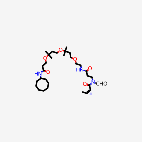 C/C=C\C(=O)N(C=O)CCC(=O)NCCOCCC(C)(C)OCCC(C)(C)OCCC(=O)NC1CCCCCCC1